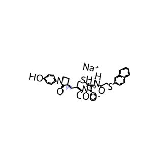 O=C(CSc1ccc2ccccc2c1)N[C@@H]1C(=O)N2C(C(=O)[O-])=C(/C=C3\CCN(c4ccc(O)cc4)C3=O)CS[C@H]12.[Na+]